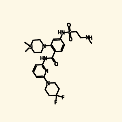 CNCCS(=O)(=O)Nc1ccc(C(=O)Nc2cccc(N3CCC(F)(F)CC3)n2)c(N2CC[Si](C)(C)CC2)c1